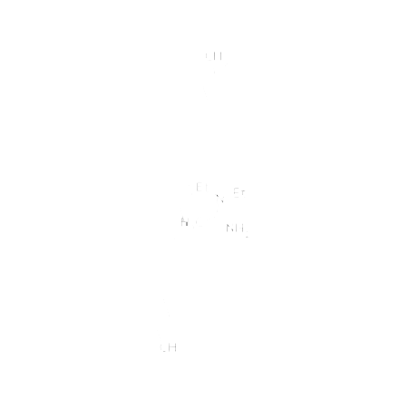 CCCCCCCCCCCCCCCCCCCC.CCN(CC)C(C)N